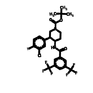 CC(C)(C)OC(=O)N1CCC(NC(=O)c2cc(C(F)(F)F)cc(C(F)(F)F)c2)C(c2ccc(F)c(Cl)c2)C1